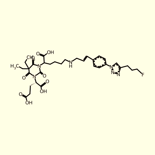 CCC1(CC)C(=O)N(C(CCCCNC/C=C/c2ccc(-n3cc(CCCF)nn3)cc2)C(=O)O)C(=O)N([C@@H](CCC(=O)O)C(=O)O)C1=O